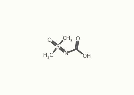 CS(C)(=O)=NC(=O)O